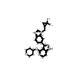 FC1(F)CC1Cn1cnc2ccc(-c3n[nH]c4ccnc(OC5CCOCC5)c34)cc21